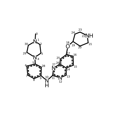 CN1CCN(c2cccc(Nc3ncc4ccc(OC5CCNCC5)cc4n3)c2)CC1